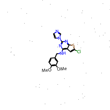 COc1ccc(CNc2nc(-n3ccnc3)nc3sc(Cl)cc23)cc1OC